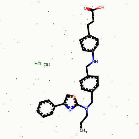 CCCN(Cc1ccc(CNc2ccc(CCC(=O)O)cc2)cc1)c1nc(-c2ccccc2)cs1.Cl.Cl